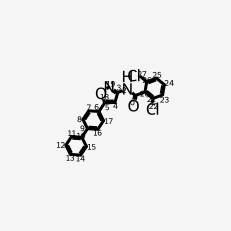 O=C(Nc1cc(-c2ccc(-c3ccccc3)cc2)on1)c1c(Cl)cccc1Cl